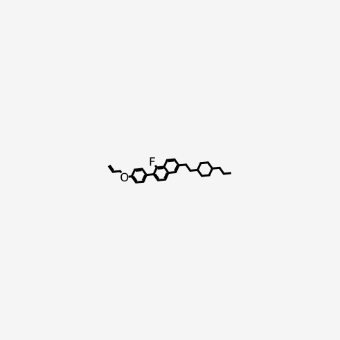 C=CCOc1ccc(-c2ccc3cc(CCC4CCC(CCC)CC4)ccc3c2F)cc1